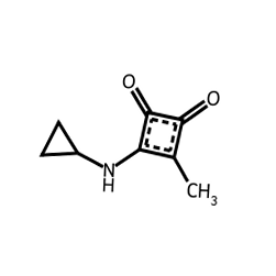 Cc1c(NC2CC2)c(=O)c1=O